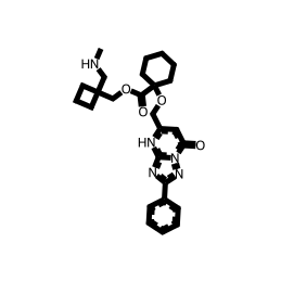 CNCC1(COC(=O)C2(OCc3cc(=O)n4nc(-c5ccccc5)nc4[nH]3)CCCCC2)CCC1